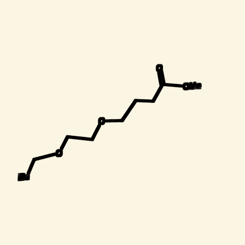 CCC(C)COCCOCCCC(=O)OC